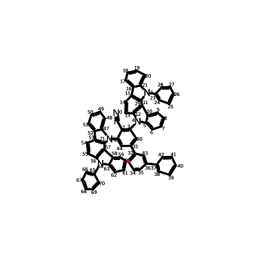 N#Cc1c(-n2c3ccccc3c3c2ccc2c4ccccc4n(-c4ccccc4)c23)cc(-c2cccc(-c3ccccc3)c2)cc1-n1c2ccccc2c2ccc3c(c4ccccc4n3-c3ccccc3)c21